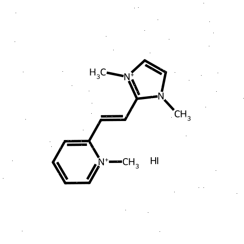 Cn1cc[n+](C)c1C=Cc1cccc[n+]1C.I